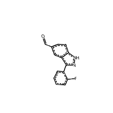 O=Cc1ccc2[nH]nc(-c3ccccc3F)c2c1